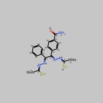 CN/C(S)=N/N=C(/C(=N/N=C(\S)NC)c1ccc(C(N)=O)cc1)c1ccccc1